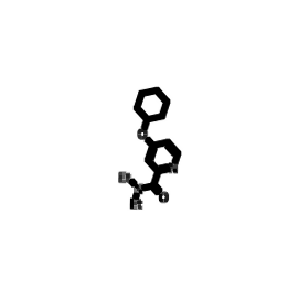 CCN(CC)C(=O)c1cc(OC2CCCCC2)ccn1